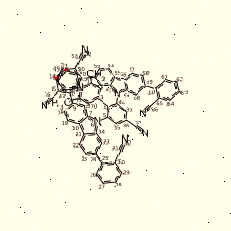 Cc1cc(-c2c(-n3c4cc(-c5ccccc5C#N)ccc4c4ccc(-c5ccccc5C#N)cc43)cc(C#N)cc2-n2c3cc(-c4ccccc4C#N)ccc3c3ccc(-c4ccccc4C#N)cc32)cc(C)n1